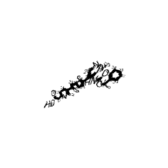 C[C@@H](OC(=O)Nc1c(-c2cc3sc(-c4ccc(CC(=O)O)nc4)cc3s2)cnn1C)c1ccccc1